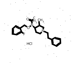 CC(=O)N(OCc1ccccc1F)C1CCN(CCc2ccccc2)CC1C.Cl